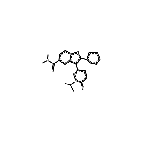 CC(C)n1nc(-c2c(-c3ccccc3)nn3ccc(C(=O)N(C)C)cc23)ccc1=O